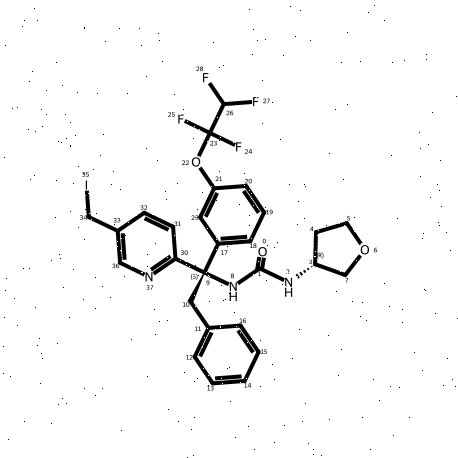 O=C(N[C@@H]1CCOC1)N[C@@](Cc1ccccc1)(c1cccc(OC(F)(F)C(F)F)c1)c1ccc(CI)cn1